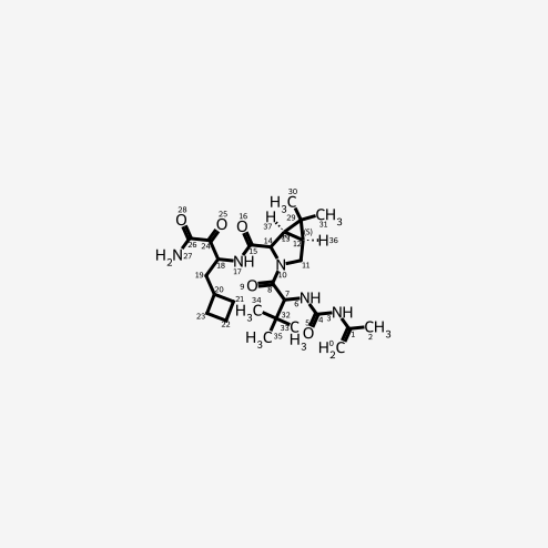 C=C(C)NC(=O)NC(C(=O)N1C[C@H]2[C@@H](C1C(=O)NC(CC1CCC1)C(=O)C(N)=O)C2(C)C)C(C)(C)C